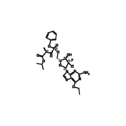 CCOc1nc(N)nc2c1ncn2[C@@H]1O[C@H](CO[P@](=O)(N[C@H](C)C(=O)OC(C)C)Oc2ccccc2)[C@@H](O)[C@@]1(F)Cl